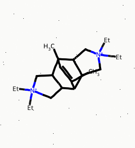 CC[N+]1(CC)CC2C3C(C)=CC(C)(C2C1)C1C[N+](CC)(CC)CC31